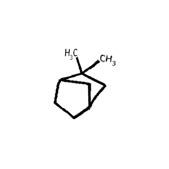 CC1(C)C[C]2CCC1C2